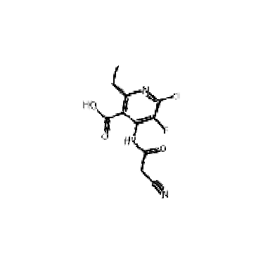 CCc1nc(Cl)c(F)c(NC(=O)CC#N)c1C(=O)O